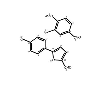 COc1ccc(C=O)cc1Br.O=Cc1ccc(-c2ccc(Cl)cc2)o1